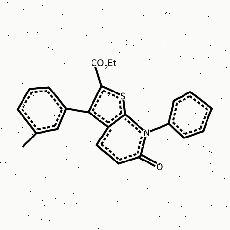 CCOC(=O)c1sc2c(ccc(=O)n2-c2ccccc2)c1-c1cccc(C)c1